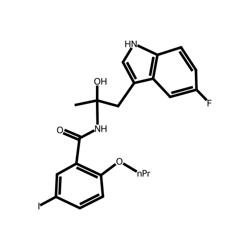 CCCOc1ccc(I)cc1C(=O)NC(C)(O)Cc1c[nH]c2ccc(F)cc12